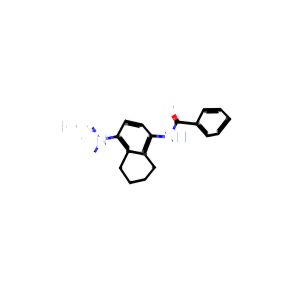 CN(C(=O)O)c1ccc(NC(=O)c2ccccc2)c2c1CCCC2